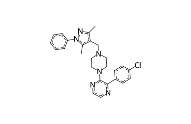 Cc1nn(-c2ccccc2)c(C)c1CN1CCN(c2nccnc2-c2ccc(Cl)cc2)CC1